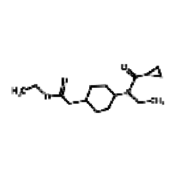 CCOC(=O)CC1CCC(N(CC)C(=O)C2CC2)CC1